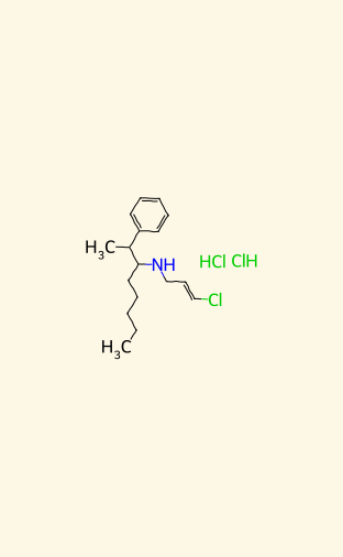 CCCCCC(NCC=CCl)C(C)c1ccccc1.Cl.Cl